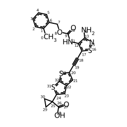 Cc1ccccc1COC(=O)Nc1c(N)nsc1C#Cc1cc2cc(C3(C(=O)O)CC3)sc2s1